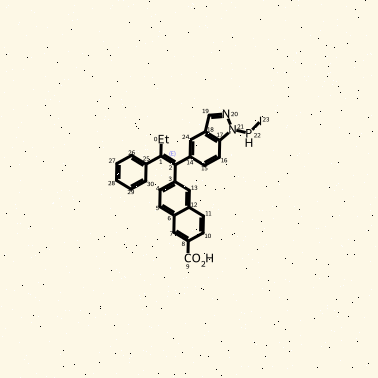 CC/C(=C(/c1ccc2cc(C(=O)O)ccc2c1)c1ccc2c(cnn2PI)c1)c1ccccc1